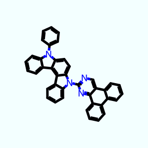 c1ccc(-n2c3ccccc3c3c4c5ccccc5n(-c5ncc6c7ccccc7c7ccccc7c6n5)c4ccc32)cc1